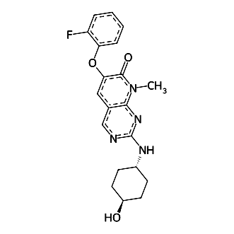 Cn1c(=O)c(Oc2ccccc2F)cc2cnc(N[C@H]3CC[C@H](O)CC3)nc21